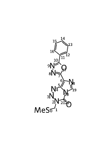 CSCn1nnc2c(-c3nnc(-c4ccccc4)o3)ncn2c1=O